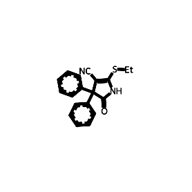 CCSC1=C(C#N)C(c2ccccc2)(c2ccccc2)C(=O)N1